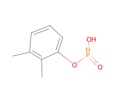 Cc1cccc(O[PH](=O)O)c1C